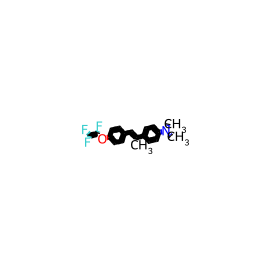 C/C(=C\c1ccc(OC(F)=C(F)F)cc1)c1ccc(N(C)C)cc1